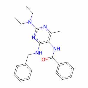 CCN(CC)c1nc(C)c(NC(=O)c2ccccc2)c(NCc2ccccc2)n1